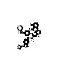 Cc1cccc(F)c1C(=O)N1[C@@H]2CCC[C@@H]2C[C@H](C(=O)Nc2ccc3c(cnn3C3COC3)c2)[C@@H]1c1ccc(NC2CCOCC2)cc1